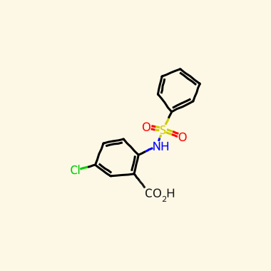 O=C(O)c1cc(Cl)ccc1NS(=O)(=O)c1ccccc1